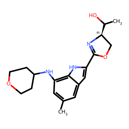 Cc1cc(NC2CCOCC2)c2[nH]c(C3=N[C@@H](C(C)O)CO3)cc2c1